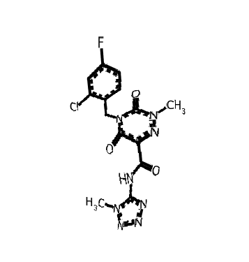 Cn1nnnc1NC(=O)c1nn(C)c(=O)n(Cc2ccc(F)cc2Cl)c1=O